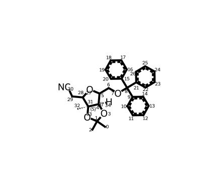 CC1(C)O[C@@H]2C(COC(c3ccccc3)(c3ccccc3)c3ccccc3)OC(CC#N)[C@]2(C)O1